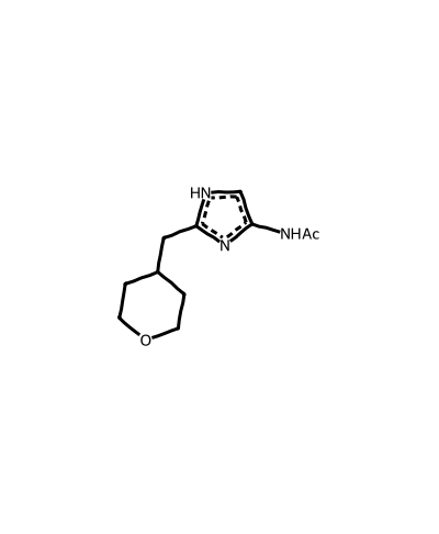 CC(=O)Nc1c[nH]c(CC2CCOCC2)n1